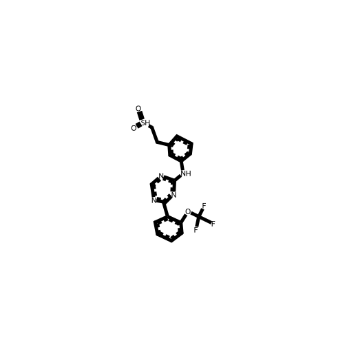 O=[SH](=O)CCc1cccc(Nc2ncnc(-c3ccccc3OC(F)(F)F)n2)c1